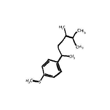 CSc1ccc(C(C)CC(C)C(C)C)cc1